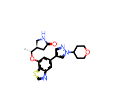 C[C@@H](Oc1cc(-c2cnn(C3CCOCC3)c2)cc2ncsc12)[C@H]1CNC(=O)C1